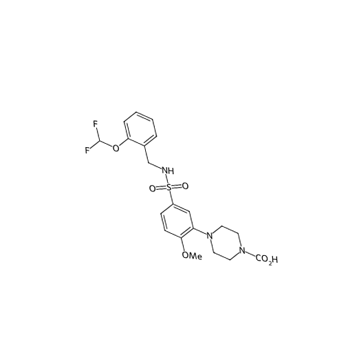 COc1ccc(S(=O)(=O)NCc2ccccc2OC(F)F)cc1N1CCN(C(=O)O)CC1